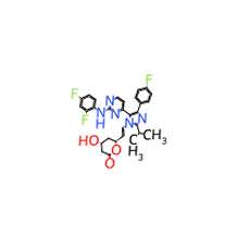 CC(C)c1nc(-c2ccc(F)cc2)c(-c2ccnc(Nc3ccc(F)cc3F)n2)n1/C=C/[C@@H]1C[C@@H](O)CC(=O)O1